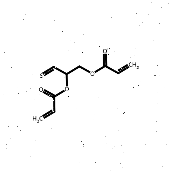 C=CC(=O)OCC(C=S)OC(=O)C=C